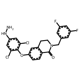 NNc1cc(Cl)c(Oc2ccc3c(c2)CCN(Cc2cc(F)cc(F)c2)C3=O)c(Cl)c1